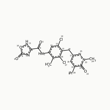 Cc1c(NC(=O)c2nc(=O)o[nH]2)cc(Cl)c(Cc2cc(C(C)C)c(=O)n(C)n2)c1Cl